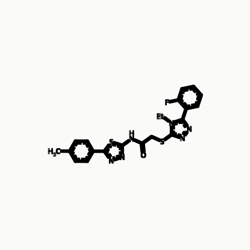 CCn1c(SCC(=O)Nc2nnc(-c3ccc(C)cc3)s2)nnc1-c1ccccc1F